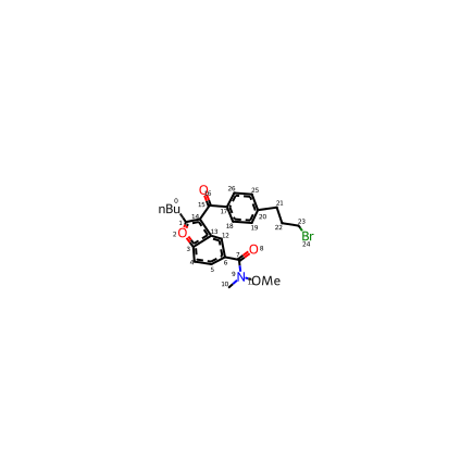 CCCCc1oc2ccc(C(=O)N(C)OC)cc2c1C(=O)c1ccc(CCCBr)cc1